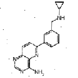 Nc1ncnc2ccc(-c3cccc(CNC4CC4)c3)nc12